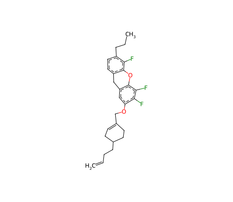 C=CCCC1CC=C(COc2cc3c(c(F)c2F)Oc2c(ccc(CCC)c2F)C3)CC1